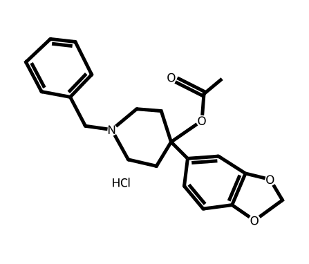 CC(=O)OC1(c2ccc3c(c2)OCO3)CCN(Cc2ccccc2)CC1.Cl